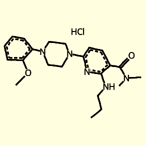 CCCNc1nc(N2CCN(c3ccccc3OC)CC2)ccc1C(=O)N(C)C.Cl